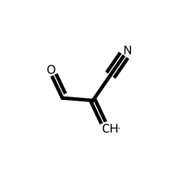 [CH]=C(C#N)C=O